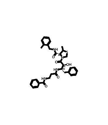 Cc1ccccc1CNC(=O)[C@@H]1C(C)SCN1C(=O)[C@@H](O)[C@H](Cc1ccccc1)NC(=O)CCNC(=O)c1ccccc1